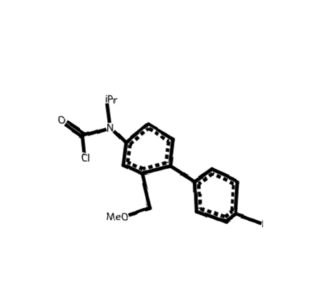 COCc1cc(N(C(=O)Cl)C(C)C)ccc1-c1ccc(I)cc1